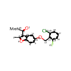 CNC(=O)c1c(C)oc2ccc(OCc3c(F)cccc3Cl)cc12